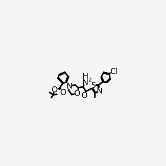 Cc1nc(-c2ccc(Cl)cc2)sc1C(=O)C(N)C1CN(c2ccccc2C(=O)OC(C)(C)C)CCO1